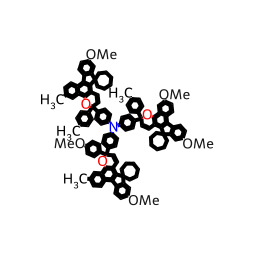 COc1ccc(C2(c3ccc(N(c4ccc(C5(c6ccc(C)cc6)C=Cc6c7c(c8ccc(C)cc8c6O5)-c5ccc(OC)cc5C75CCCCCC5)cc4)c4ccc(C5(c6ccc(C)cc6)C=Cc6c7c(c8ccc(OC)cc8c6O5)-c5ccc(OC)cc5C75CCCCCC5)cc4)cc3)C=Cc3c4c(c5ccc(C)cc5c3O2)-c2ccc(OC)cc2C42CCCCCC2)cc1